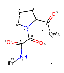 COC(=O)C1CCCN1C(=O)C(=O)NC(C)C